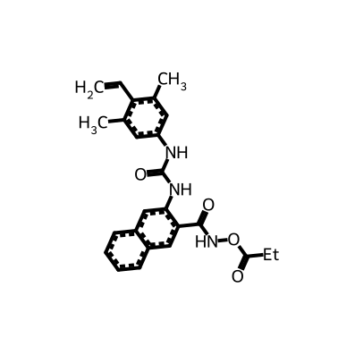 C=Cc1c(C)cc(NC(=O)Nc2cc3ccccc3cc2C(=O)NOC(=O)CC)cc1C